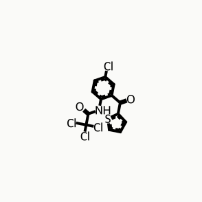 O=C(c1cccs1)c1cc(Cl)ccc1NC(=O)C(Cl)(Cl)Cl